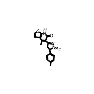 CC(=O)N1N=C(c2c(C)c3ccsc3[nH]c2=O)CC1c1ccc(C)cc1